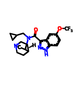 O=C(c1n[nH]c2ccc(OC(F)(F)F)cc12)N(CC1CC1)[C@@H]1CN2CCC1CC2